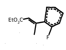 CCOC(=O)/C=C(\C)c1ccccc1F